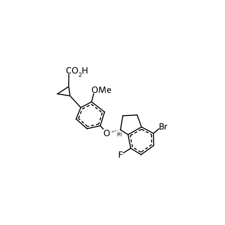 COc1cc(O[C@@H]2CCc3c(Br)ccc(F)c32)ccc1C1CC1C(=O)O